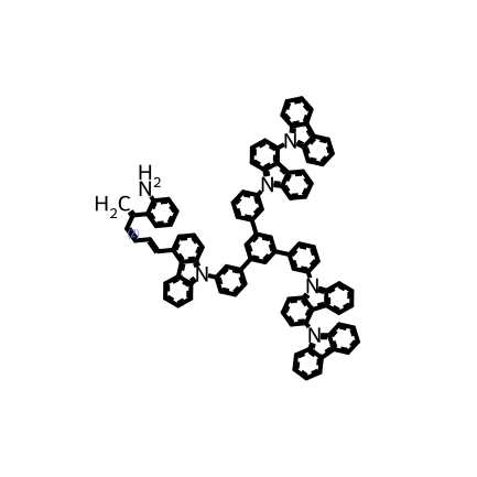 C=C(/C=C\C=Cc1cccc2c1c1ccccc1n2-c1cccc(-c2cc(-c3cccc(-n4c5ccccc5c5c(-n6c7ccccc7c7ccccc76)cccc54)c3)cc(-c3cccc(-n4c5ccccc5c5c(-n6c7ccccc7c7ccccc76)cccc54)c3)c2)c1)c1ccccc1N